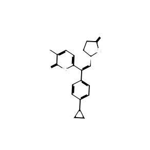 O=C1CC[C@H](/C=C(/c2ccc(C3CC3)cc2)c2ccc(Cl)c(=O)[nH]2)N1